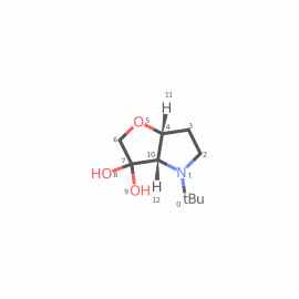 CC(C)(C)N1CC[C@H]2OCC(O)(O)[C@H]21